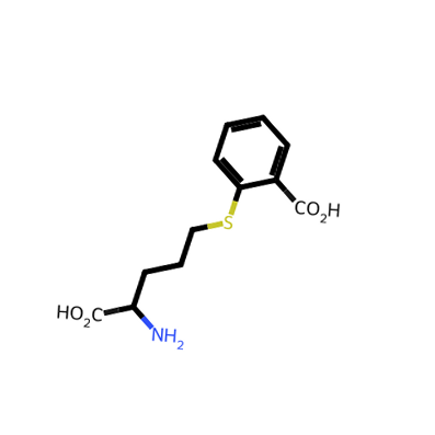 NC(CCCSc1ccccc1C(=O)O)C(=O)O